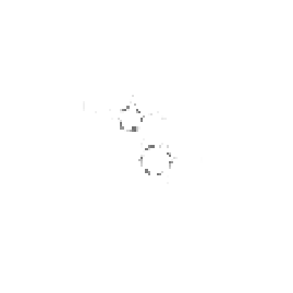 Cc1cc(-c2cn(C)nc2C)nc(C)n1